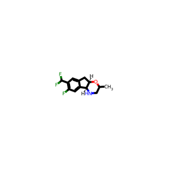 CC1CN[C@H]2c3cc(F)c(C(F)F)cc3C[C@H]2O1